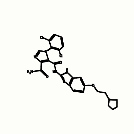 NC(=O)c1ncn(-c2c(Cl)cccc2Cl)c1C(=O)Nc1nc2ccc(OCCN3CCCC3)cc2[nH]1